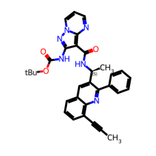 CC#Cc1cccc2cc([C@H](C)NC(=O)c3c(NC(=O)OC(C)(C)C)nn4cccnc34)c(-c3ccccc3)nc12